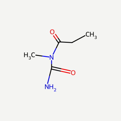 CCC(=O)N(C)C(N)=O